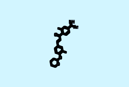 CC(=O)C(=N)c1ccc(C(=O)/C=C/c2ccc(OC3CCCCO3)c(C)c2)c(C)c1